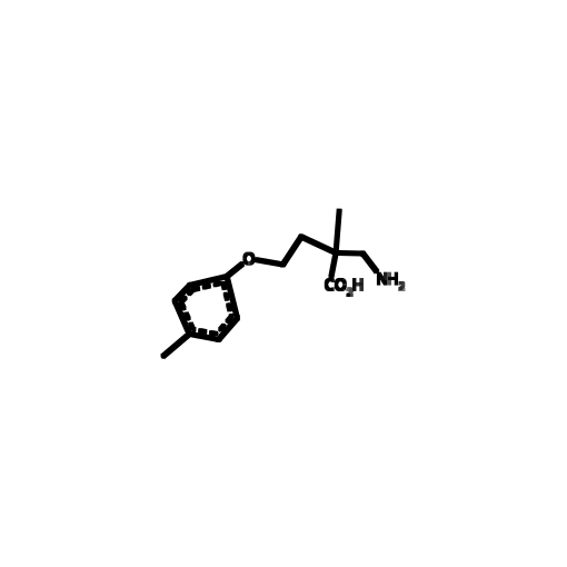 Cc1ccc(OCCC(C)(CN)C(=O)O)cc1